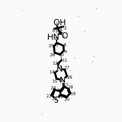 CC(C)(O)C(=O)N[C@H]1CC[C@H](CCN2CCN(c3cccc4sccc34)CC2)CC1